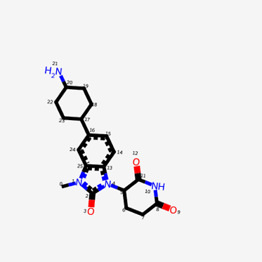 Cn1c(=O)n(C2CCC(=O)NC2=O)c2ccc(C3CCC(N)CC3)cc21